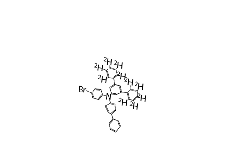 [2H]c1c([2H])c([2H])c(-c2cc(-c3c([2H])c([2H])c([2H])c([2H])c3[2H])cc(N(c3ccc(Br)cc3)c3ccc(-c4ccccc4)cc3)c2)c([2H])c1[2H]